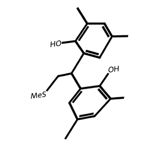 CSCC(c1cc(C)cc(C)c1O)c1cc(C)cc(C)c1O